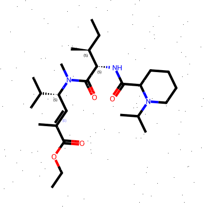 CCOC(=O)/C(C)=C/[C@H](C(C)C)N(C)C(=O)[C@@H](NC(=O)C1CCCCN1C(C)C)[C@@H](C)CC